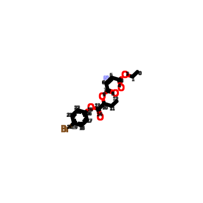 CCOC(=O)/C=C\C(=O)OC(CC)C(=O)Oc1ccc(Br)cc1